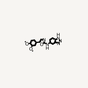 COc1ccc(-c2cnc(Nc3ccc4[nH]nnc4c3)o2)cc1OC